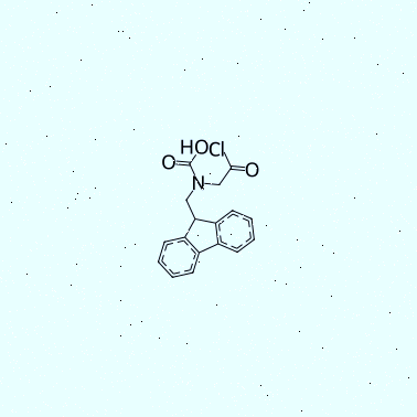 O=C(Cl)CN(CC1c2ccccc2-c2ccccc21)C(=O)O